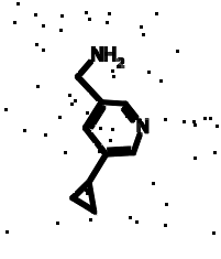 NCc1cncc(C2CC2)c1